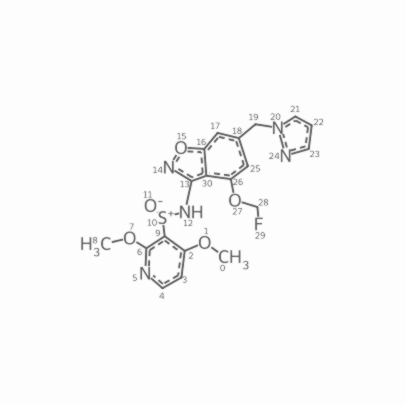 COc1ccnc(OC)c1[S+]([O-])Nc1noc2cc(Cn3cccn3)cc(OCF)c12